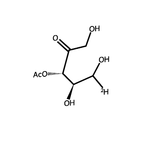 [2H]C(O)[C@@H](O)[C@H](OC(C)=O)C(=O)CO